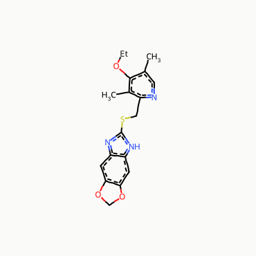 CCOc1c(C)cnc(CSc2nc3cc4c(cc3[nH]2)OCO4)c1C